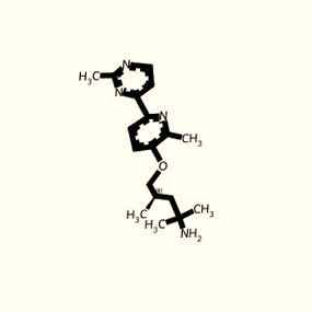 Cc1nccc(-c2ccc(OC[C@H](C)CC(C)(C)N)c(C)n2)n1